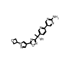 CC(C)[C@](C)(c1ccc(-c2cnc(N)nc2)nc1)c1noc(-c2cnn(C3COC3)c2)n1